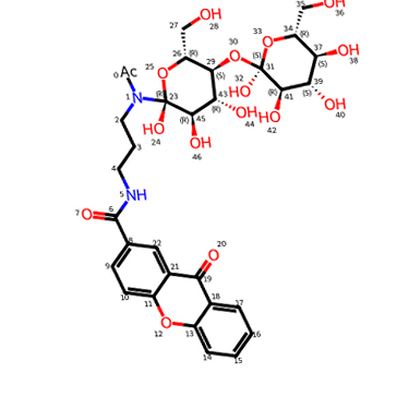 CC(=O)N(CCCNC(=O)c1ccc2oc3ccccc3c(=O)c2c1)[C@]1(O)O[C@H](CO)[C@@H](O[C@@]2(O)O[C@H](CO)[C@@H](O)[C@H](O)[C@H]2O)[C@H](O)[C@H]1O